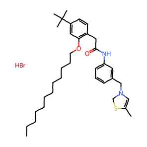 Br.CCCCCCCCCCCCOc1cc(C(C)(C)C)ccc1CC(=O)Nc1cccc(CN2C=C(C)SC2)c1